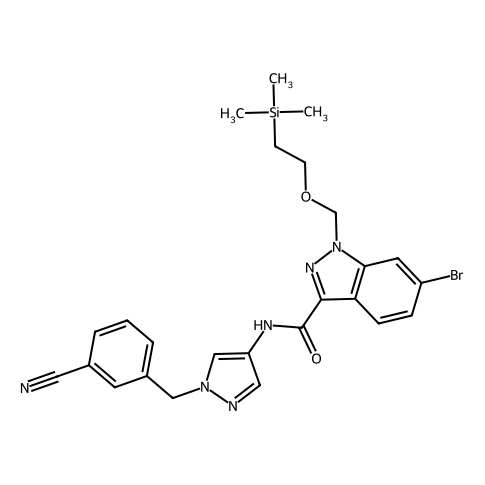 C[Si](C)(C)CCOCn1nc(C(=O)Nc2cnn(Cc3cccc(C#N)c3)c2)c2ccc(Br)cc21